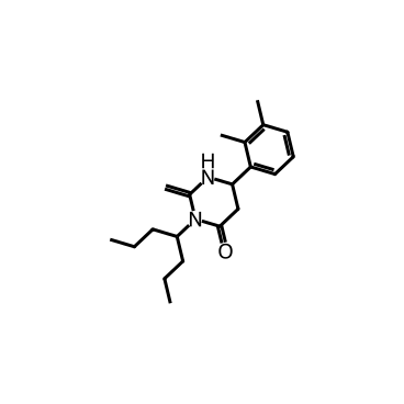 C=C1NC(c2cccc(C)c2C)CC(=O)N1C(CCC)CCC